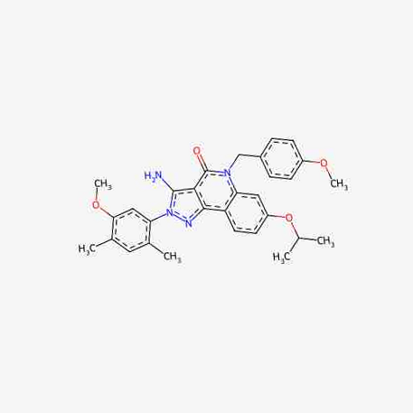 COc1ccc(Cn2c(=O)c3c(N)n(-c4cc(OC)c(C)cc4C)nc3c3ccc(OC(C)C)cc32)cc1